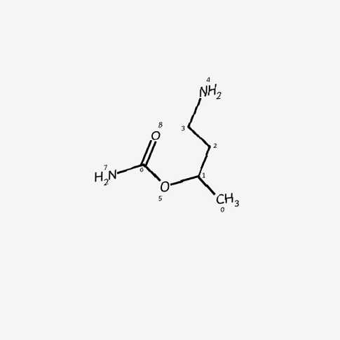 CC(CCN)OC(N)=O